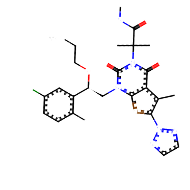 CCc1ccc(F)cc1[C@H](Cn1c(=O)n(C(C)(C)C(=O)NC(C)C)c(=O)c2c(C)c(-n3nccn3)sc21)OCCOC